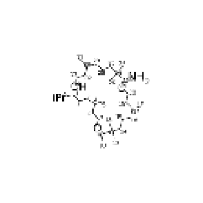 CC(C)CCCC(C)CCOC(C)C(C)(C)CCCC(C)CCOC(N)C(C)(C)CCCC(C)CCO